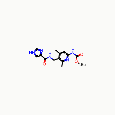 Cc1cc(NC(=O)OC(C)(C)C)nc(C)c1CNC(=O)c1c[nH]cn1